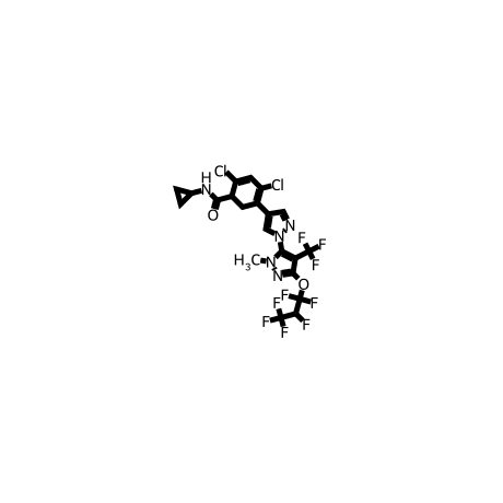 Cn1nc(OC(F)(F)C(F)C(F)(F)F)c(C(F)(F)F)c1-n1cc(C2=C(Cl)C=C(Cl)C(C(=O)NC3CC3)C2)cn1